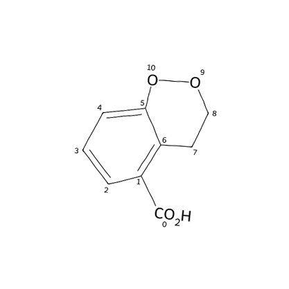 O=C(O)c1cccc2c1CCOO2